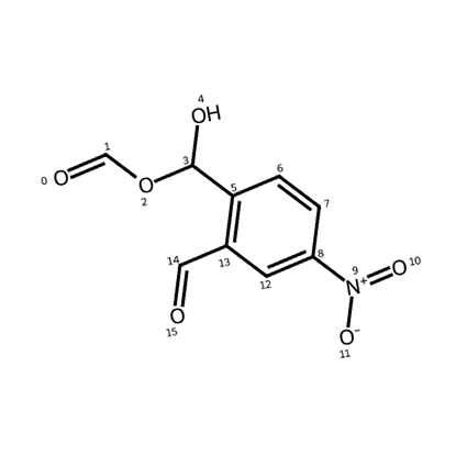 O=COC(O)c1ccc([N+](=O)[O-])cc1C=O